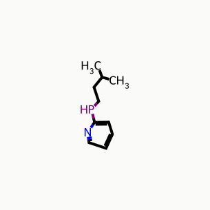 CC(C)CCPc1ccccn1